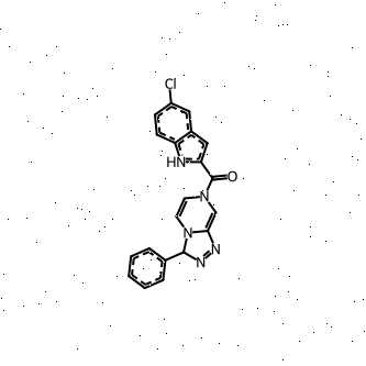 O=C(c1cc2cc(Cl)ccc2[nH]1)N1C=CN2C(=C1)N=NC2c1ccccc1